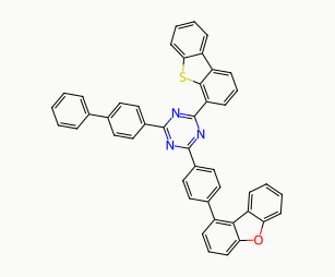 c1ccc(-c2ccc(-c3nc(-c4ccc(-c5cccc6oc7ccccc7c56)cc4)nc(-c4cccc5c4sc4ccccc45)n3)cc2)cc1